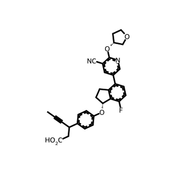 CC#CC(CC(=O)O)c1ccc(O[C@@H]2CCc3c(-c4cnc(O[C@@H]5CCOC5)c(C#N)c4)ccc(F)c32)cc1